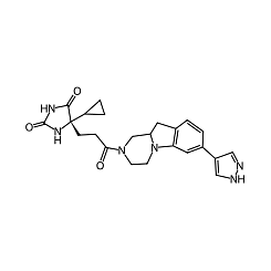 O=C1NC(=O)[C@](CCC(=O)N2CCN3c4cc(-c5cn[nH]c5)ccc4CC3C2)(C2CC2)N1